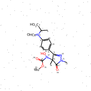 CC(C(=O)O)N(C=O)c1ccc(C2=NN(C)C(=O)C2(C)N(O)C(=O)OC(C)(C)C)cc1